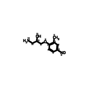 Cc1cc(N=O)ccc1OCC(O)CN